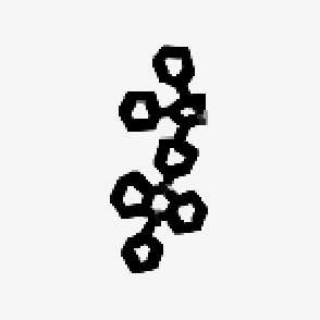 c1ccc(C2=NN=C(c3ccc(N4c5ccccc5N(c5ccccc5)c5ccccc54)cc3)C2c2ccccc2)cc1